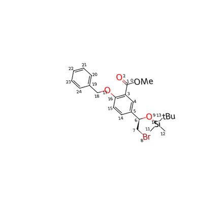 COC(=O)c1cc([C@H](CBr)O[Si](C)(C)C(C)(C)C)ccc1OCc1ccccc1